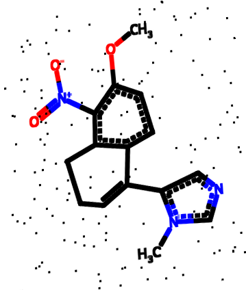 COc1ccc2c(c1[N+](=O)[O-])CCC=C2c1cncn1C